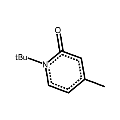 Cc1ccn(C(C)(C)C)c(=O)c1